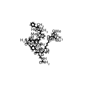 CCC(C)C(C)C(C)(C)C(CC(=O)OC)C(=O)NCCCCCC(=O)N[C@H](C(=O)N[C@@H](CCCNC(N)=O)C(=O)Nc1ccc(COC(=O)N(C)[C@H](C(=O)N[C@H](C(=O)N(C)[C@@H]([C@@H](C)CC)[C@@H](CC(=O)N2CCC[C@H]2[C@H](OC)[C@@H](C)C(=O)N[C@H](C)[C@@H](O)c2ccccc2)OC)C(C)C)C(C)C)cc1)C(C)C